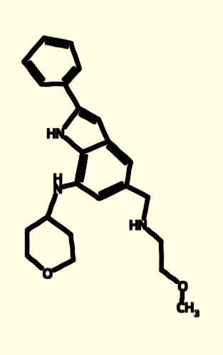 COCCNCc1cc(NC2CCOCC2)c2[nH]c(-c3ccccc3)cc2c1